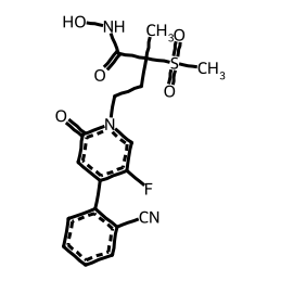 CC(CCn1cc(F)c(-c2ccccc2C#N)cc1=O)(C(=O)NO)S(C)(=O)=O